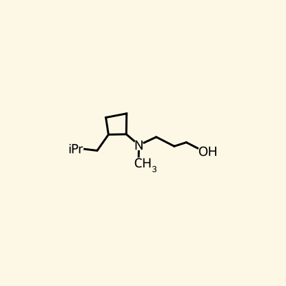 CC(C)CC1CCC1N(C)CCCO